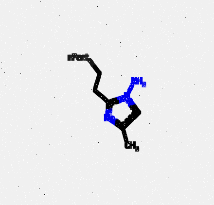 CCCCCCCc1nc(C)cn1N